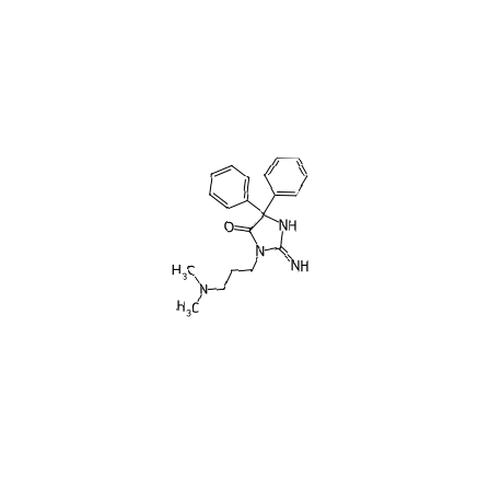 CN(C)CCCN1C(=N)NC(c2ccccc2)(c2ccccc2)C1=O